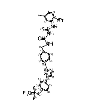 Cc1ccc(C(C)C)c(NC(=S)NC(=O)NCc2ccc(-c3ncn(-c4ccc(OC(F)(F)C(F)(F)F)cc4)n3)cc2)c1